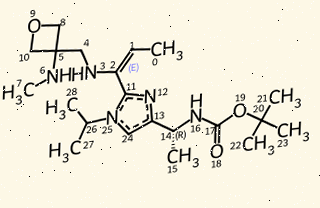 C/C=C(/NCC1(NC)COC1)c1nc([C@@H](C)NC(=O)OC(C)(C)C)cn1C(C)C